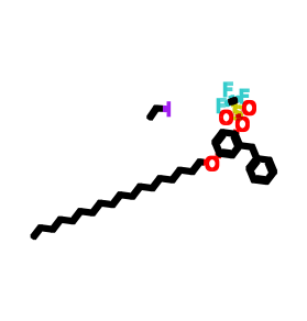 CCCCCCCCCCCCCCCCCCOc1ccc(OS(=O)(=O)C(F)(F)F)c(Cc2ccccc2)c1.CCI